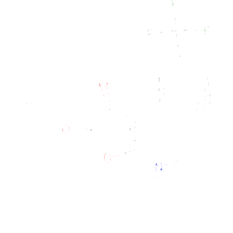 CCOC1OC(N(C)C)=C(c2cc(OC)cc(C(F)(F)F)c2)C1=O